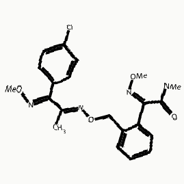 CNC(=O)/C(=N\OC)c1ccccc1CO/N=C(C)/C(=N/OC)c1ccc(Cl)cc1